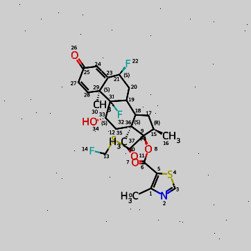 Cc1ncsc1C(=O)O[C@]1(C(=O)SCF)[C@H](C)CC2C3C[C@H](F)C4=CC(=O)C=C[C@]4(C)C3(F)[C@@H](O)C[C@@]21C